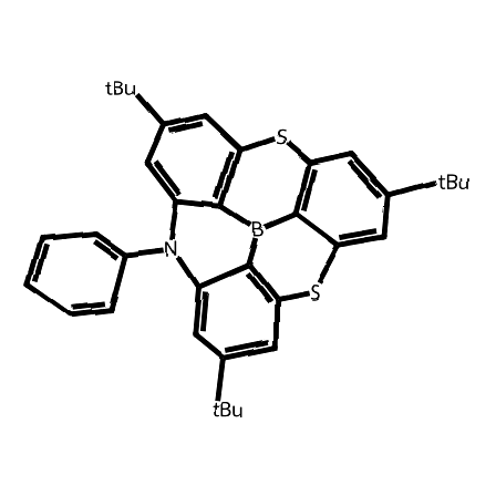 CC(C)(C)c1cc2c3c(c1)Sc1cc(C(C)(C)C)cc4c1B3c1c(cc(C(C)(C)C)cc1N4c1ccccc1)S2